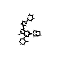 CC1COCCN1c1cc(N2CC3CCC(C2)O3)nc2c(-c3ccn(C4CCCCO4)n3)nn(C)c12